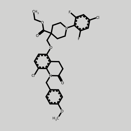 CCOC(=O)C1(COc2ccc(Cl)c3c2CCC(=O)N3Cc2ccc(OC)cc2)CCN(c2c(F)cc(Cl)cc2F)CC1